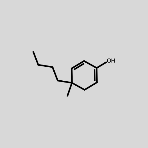 CCCCC1(C)C=CC(O)=CC1